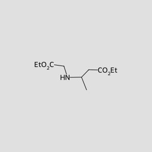 CCOC(=O)CNC(C)CC(=O)OCC